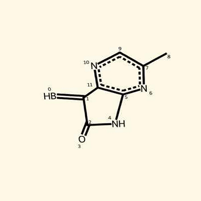 B=C1C(=O)Nc2nc(C)cnc21